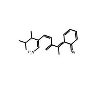 C=C(/C=C\C(=C\N)C(C)C(C)C)/C(C)=C1\C=CC=CC1=N